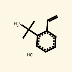 C=Cc1ccccc1C(C)(C)N.Cl